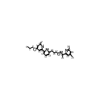 CCCOc1cc(C)nc(-c2cccc(CCCO/N=C(\C)c3cc(C)cc(C)n3)n2)c1